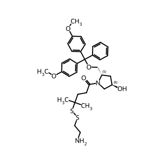 COc1ccc(C(OC[C@@H]2C[C@@H](O)CN2C(=O)CCC(C)(C)SSCCN)(c2ccccc2)c2ccc(OC)cc2)cc1